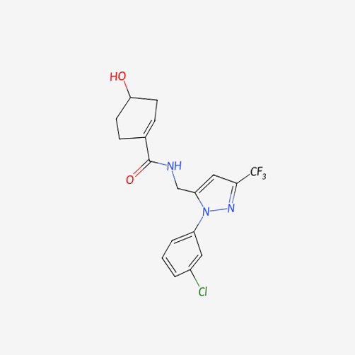 O=C(NCc1cc(C(F)(F)F)nn1-c1cccc(Cl)c1)C1=CCC(O)CC1